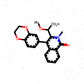 Cn1c(C(OC(C)(C)C)C(=O)O)c(-c2ccc3c(c2)OCCO3)c2ccccc2c1=O